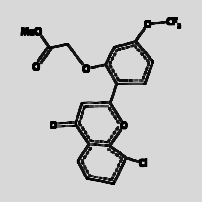 COC(=O)COc1cc(OC(F)(F)F)ccc1-c1cc(=O)c2cccc(Cl)c2o1